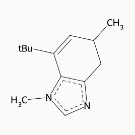 CC1C=C(C(C)(C)C)c2c(ncn2C)C1